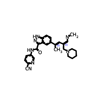 C=N/C=C(\C=C(/C)c1ccc2[nH]nc(C(=O)Nc3ccc(C#N)nc3)c2c1)CN1CCCCC1